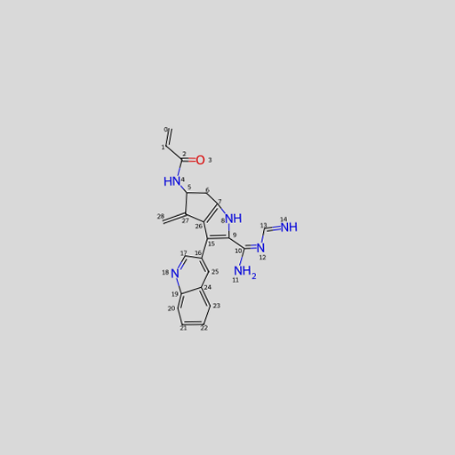 C=CC(=O)NC1Cc2[nH]c(/C(N)=N\C=N)c(-c3cnc4ccccc4c3)c2C1=C